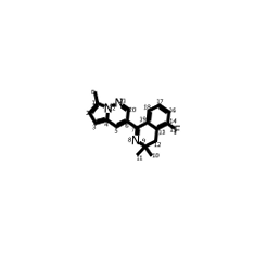 Cc1ccc2cc(C3=NC(C)(C)Cc4c(F)cccc43)cnn12